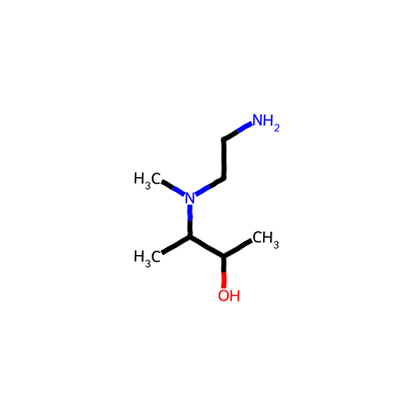 CC(O)C(C)N(C)CCN